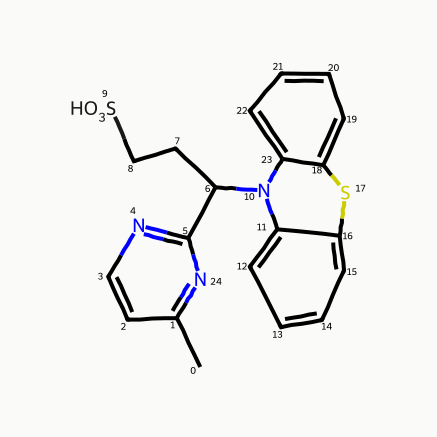 Cc1ccnc(C(CCS(=O)(=O)O)N2c3ccccc3Sc3ccccc32)n1